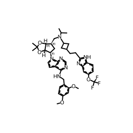 COc1ccc(CNc2ncnc3c2ccn3[C@@H]2C[C@H](CN(C(C)C)C3CC(CCc4nc5cc(OC(F)(F)F)ccc5[nH]4)C3)[C@H]3OC(C)(C)O[C@H]32)c(OC)c1